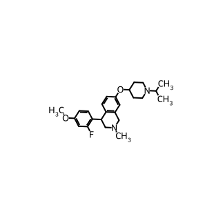 COc1ccc(C2CN(C)Cc3cc(OC4CCN(C(C)C)CC4)ccc32)c(F)c1